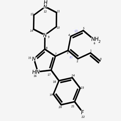 C=C/C=C(\C=C/N)c1c(N2CCNCC2)n[nH]c1-c1ccc(F)cc1